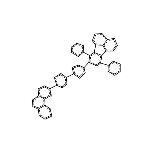 c1ccc(-c2cc(-c3ccc(-c4ccc(-c5ccc6ccc7cccnc7c6n5)cc4)cc3)c(-c3ccccc3)c3c2-c2cccc4cccc-3c24)cc1